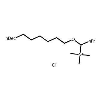 CCCCCCCCCCCCCCCCOC(CCC)[N+](C)(C)C.[Cl-]